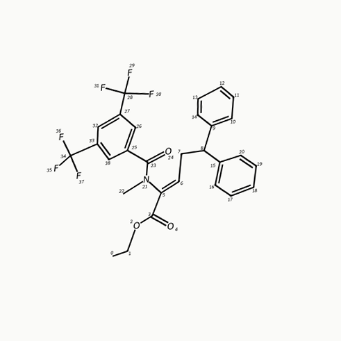 CCOC(=O)C(=CCC(c1ccccc1)c1ccccc1)N(C)C(=O)c1cc(C(F)(F)F)cc(C(F)(F)F)c1